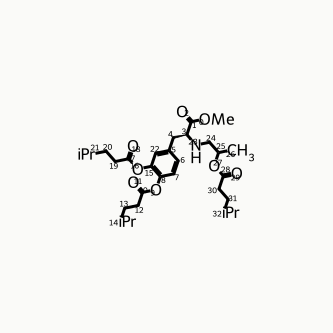 COC(=O)[C@H](Cc1ccc(OC(=O)CCC(C)C)c(OC(=O)CCC(C)C)c1)NCC(C)OC(=O)CCC(C)C